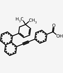 CC1(C)C=CC=C(c2cccc3cccc(C#Cc4ccc(C(=O)O)cc4)c23)C1